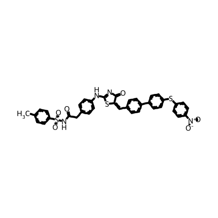 Cc1ccc(S(=O)(=O)NC(=O)Cc2ccc(NC3=NC(=O)/C(=C\c4ccc(-c5ccc(Sc6ccc([N+](=O)[O-])cc6)cc5)cc4)S3)cc2)cc1